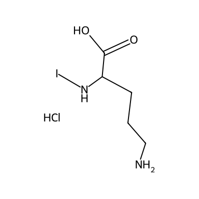 Cl.NCCCC(NI)C(=O)O